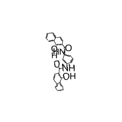 O=C(Nc1cccc(NC(=O)c2ccc3ccccc3c2O)c1)c1ccc2ccccc2c1O